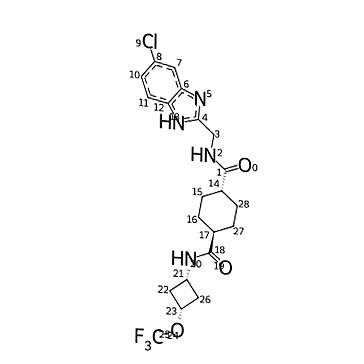 O=C(NCc1nc2cc(Cl)ccc2[nH]1)[C@H]1CC[C@H](C(=O)N[C@H]2C[C@@H](OC(F)(F)F)C2)CC1